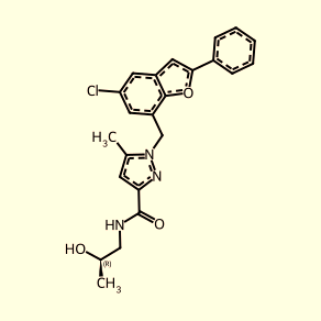 Cc1cc(C(=O)NC[C@@H](C)O)nn1Cc1cc(Cl)cc2cc(-c3ccccc3)oc12